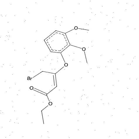 CCOC(=O)C=C(CBr)Oc1cccc(OC)c1OC